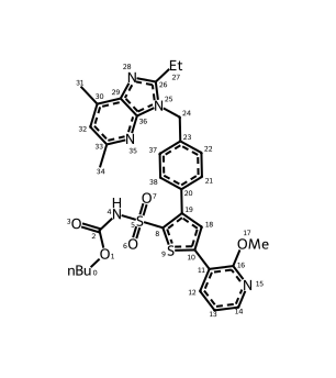 CCCCOC(=O)NS(=O)(=O)c1sc(-c2cccnc2OC)cc1-c1ccc(Cn2c(CC)nc3c(C)cc(C)nc32)cc1